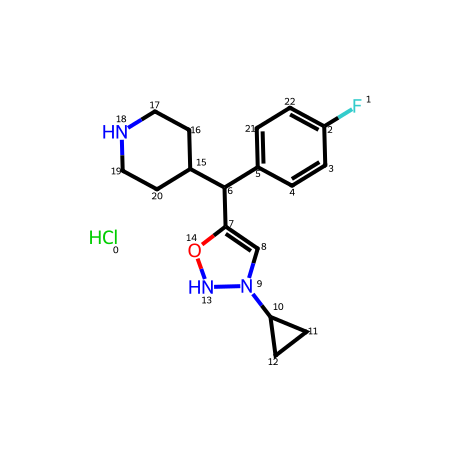 Cl.Fc1ccc(C(C2=CN(C3CC3)NO2)C2CCNCC2)cc1